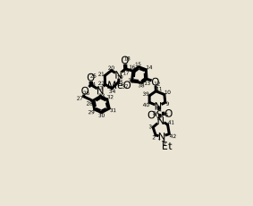 CCN1CCN(S(=O)(=O)N2CCC(Oc3ccc(C(=O)N4CCC(N5C(=O)OCc6ccccc65)CC4)c(OC)c3)CC2)CC1